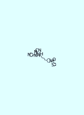 N#C/N=C(\NCCCCCC1CCN(C(=O)c2cccs2)CC1)Nc1ccncc1